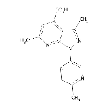 Cc1ccc(-n2nc(C)c3c(C(=O)O)cc(C)nc32)cn1